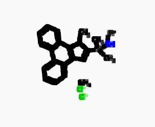 CC(C)[NH][Ti+2]([CH3])([CH3])[C]1=Cc2c(c3ccccc3c3ccccc23)C1C.[Cl-].[Cl-].[SiH4]